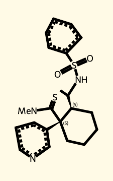 CNC(=S)[C@@]1(c2cccnc2)CCCC[C@@H]1C(C)NS(=O)(=O)c1ccccc1